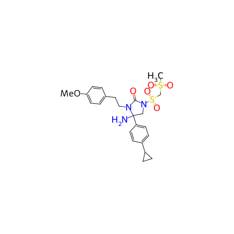 COc1ccc(CCN2C(=O)N(S(=O)(=O)CS(C)(=O)=O)CC2(N)c2ccc(C3CC3)cc2)cc1